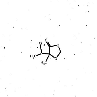 CC(C)C1(C)OCOC1=O